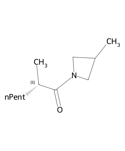 CCCCC[C@H](C)C(=O)N1CC(C)C1